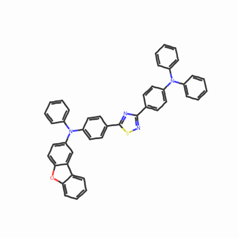 c1ccc(N(c2ccccc2)c2ccc(-c3nsc(-c4ccc(N(c5ccccc5)c5ccc6oc7ccccc7c6c5)cc4)n3)cc2)cc1